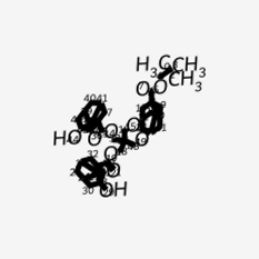 CC(C)(C)COC(=O)C12CC3CC(C1)C1(OCC(COC(=O)C45CC6CC(CC(O)(C6)C4)C5)(COC(=O)C45CC6CC(CC(O)(C6)C4)C5)CO1)C(C3)C2